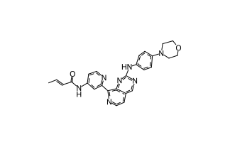 CC=CC(=O)Nc1ccnc(-c2nccc3cnc(Nc4ccc(N5CCOCC5)cc4)nc23)c1